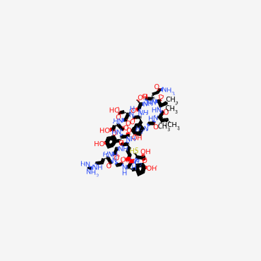 CC[C@H](C)[C@H](NC(=O)CN)C(=O)N[C@H](C(=O)N[C@@H](CCC(N)=O)C(=O)N[C@@H](CO)C(=O)N[C@@H](Cc1ccc(O)cc1)C(=O)N[C@@H](CC(=O)O)C(=O)N[C@@H](CC(=O)O)C(=O)N[C@@H](Cc1ccc(O)cc1)C(=O)N[C@@H](CCCCN)C(=O)NCC(=O)N[C@@H](CCCNC(=N)N)C(=O)NCC(=O)N[C@@H](Cc1ccc(O)cc1)C(=O)N[C@@H](CS)C(=O)O)C(C)C